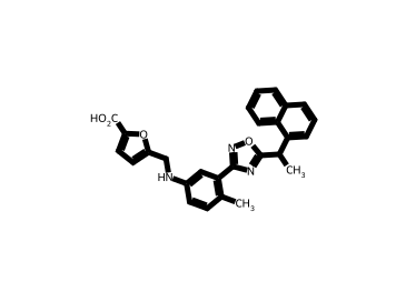 Cc1ccc(NCc2ccc(C(=O)O)o2)cc1-c1noc(C(C)c2cccc3ccccc23)n1